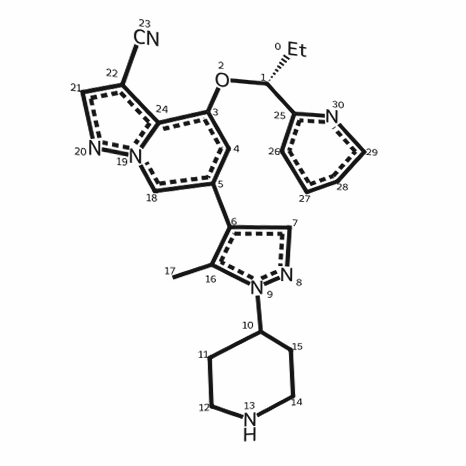 CC[C@@H](Oc1cc(-c2cnn(C3CCNCC3)c2C)cn2ncc(C#N)c12)c1ccccn1